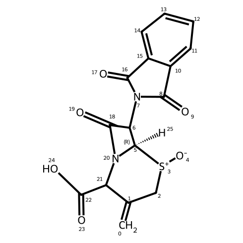 C=C1C[S+]([O-])[C@@H]2C(N3C(=O)c4ccccc4C3=O)C(=O)N2C1C(=O)O